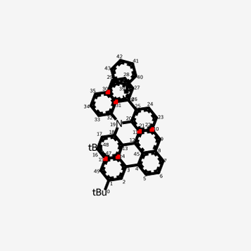 CC(C)(C)c1cc(-c2cccc3cccc(-c4ccccc4N(c4ccccc4-c4ccccc4)c4cccc5c4sc4ccccc45)c23)cc(C(C)(C)C)c1